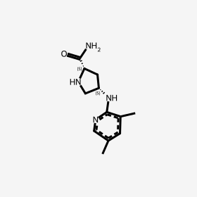 Cc1cnc(N[C@@H]2CN[C@H](C(N)=O)C2)c(C)c1